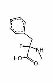 CN[C@@](F)(Cc1ccccc1)C(=O)O